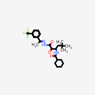 C/C(=N\NC(=O)C(=O)C(CC(C)(C)C)NC(=O)C1CCCCC1)c1cccc(C(F)(F)F)c1